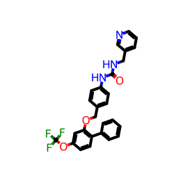 O=C(NCc1cccnc1)Nc1ccc(COc2cc(OC(F)(F)F)ccc2-c2ccccc2)cc1